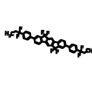 CCC(F)(F)c1ccc(-c2ccc3c(c2)C(F)(F)c2cc4c(cc2-3)C(F)(F)c2cc(-c3ccc(C(F)(F)CC)cc3)ccc2-4)cc1